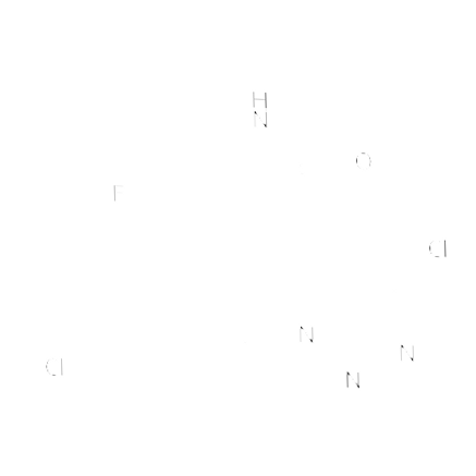 O=c1cc(-c2cc(Cl)ccc2-n2cc(Cl)nn2)c(F)c[nH]1